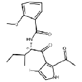 CCC(C)[C@H](NC(=O)c1ccccc1OC)C(=O)c1c(I)c[nH]c1C(C)=O